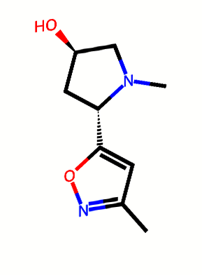 Cc1cc([C@@H]2C[C@@H](O)CN2C)on1